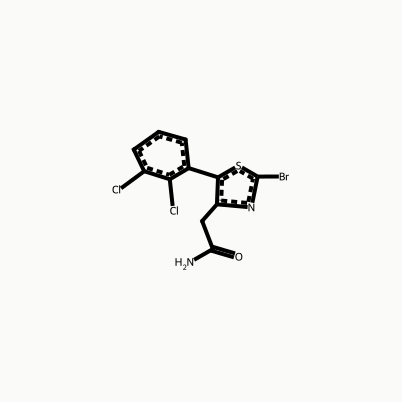 NC(=O)Cc1nc(Br)sc1-c1cccc(Cl)c1Cl